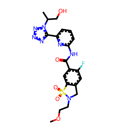 COCCN1Cc2cc(F)c(C(=O)Nc3cccc(-c4nnnn4C(C)CO)n3)cc2S1(=O)=O